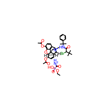 CC(=O)Oc1ccc2c3c1O[C@H]1[C@@H](OC(C)=O)C=C[C@H]4[C@@H](C2)N(C)CC[C@@]341.CC(C)(NC(=O)C(Br)C(C)(C)C)c1ccccc1.CCOP(=O)(O)C(N)=O